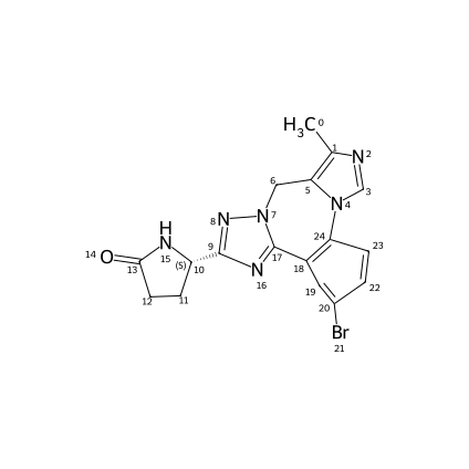 Cc1ncn2c1Cn1nc([C@@H]3CCC(=O)N3)nc1-c1cc(Br)ccc1-2